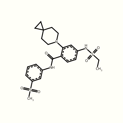 CCS(=O)(=O)Nc1ccc(C(=O)Nc2cccc(S(C)(=O)=O)c2)c(N2CCC3(CC2)CC3)c1